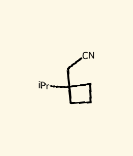 CC(C)C1(CC#N)CCC1